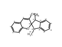 CC1=Cc2ccccc2OC12C(C)c1ccccc1N2C